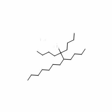 Br.CCCCCCCC(CCCC)C(N)(CCCC)CCCC